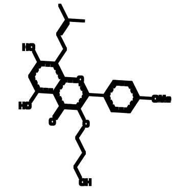 COc1ccc(-c2oc3c(CC=C(C)C)c(O)cc(O)c3c(=O)c2OCCCO)cc1